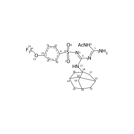 CC(=O)N/C(N)=N\C(=N\S(=O)(=O)c1ccc(OC(F)(F)F)cc1)NC12CC3CC(CC(C3)C1)C2